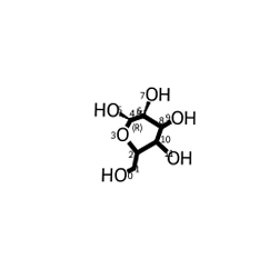 OCC1O[C@@H](O)[C@@H](O)C(O)C1O